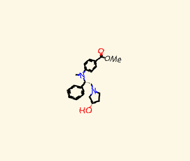 COC(=O)c1ccc(N(C)[C@H](CN2CC[C@H](O)C2)c2ccccc2)cc1